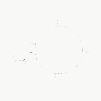 CC1(C)COC(=O)CCC(=O)CC(=O)SCCNC(=O)CCNC(=O)[C@@H]1OC(=O)C(=O)O